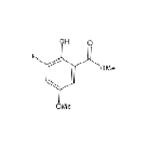 COC(=O)c1cc(OC)cc(I)c1O